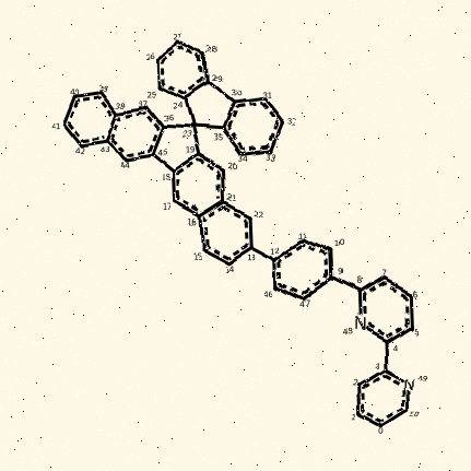 c1ccc(-c2cccc(-c3ccc(-c4ccc5cc6c(cc5c4)C4(c5ccccc5-c5ccccc54)c4cc5ccccc5cc4-6)cc3)n2)nc1